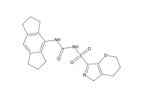 O=C(Nc1c2c(cc3c1CCC3)CCC2)NS(=O)(=O)C1=NCC2=C1OCCC2